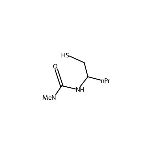 CCCC(CS)NC(=O)NC